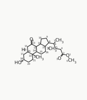 COC(=O)CCC(C)C1CCC2C3C(=O)C[C@@H]4C[C@H](O)CCC4(C)C3CC[C@]12C